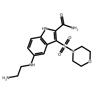 NCCNc1ccc2[nH]c(C(N)=O)c(S(=O)(=O)N3CCOCC3)c2c1